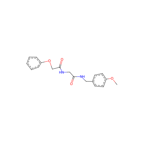 COc1ccc(CNC(=O)CNC(=O)COc2ccccc2)cc1